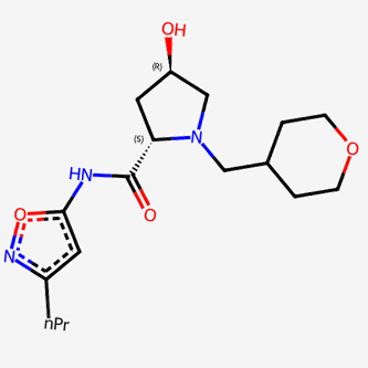 CCCc1cc(NC(=O)[C@@H]2C[C@@H](O)CN2CC2CCOCC2)on1